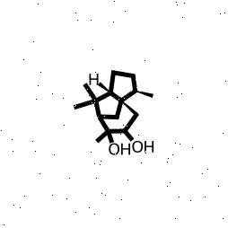 C[C@@H]1CC[C@H]2C(C)(C)C3C[C@@]12CC(O)C3(C)O